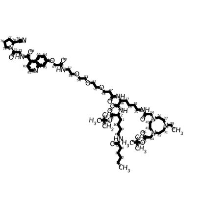 CCCCCC(=O)NCCCCC(NC(=O)C(CCCCNC(=O)CN1CCN(CC)CCN(CC(=O)OC(C)(C)C)CC1)NC(=O)CCOCCOCCOCCNC(=O)COc1ccc2c(C(=O)NCC(=O)N3CCCC3C#N)ccnc2c1)C(=O)OC(C)(C)C